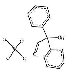 O=CC(O)(c1ccccc1)c1ccccc1.[Cl][Ti]([Cl])([Cl])[Cl]